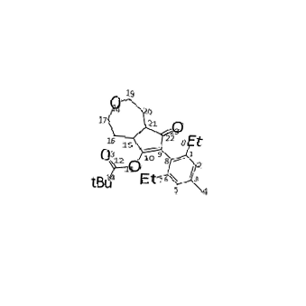 CCc1cc(C)cc(CC)c1C1=C(OC(=O)C(C)(C)C)C2CCOCCC2C1=O